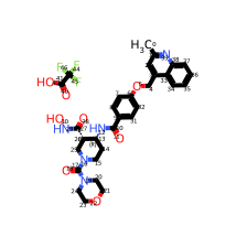 Cc1cc(COc2ccc(C(=O)N[C@@H]3CCN(C(=O)N4CCOCC4)C[C@@H]3C(=O)NO)cc2)c2ccccc2n1.O=C(O)C(F)(F)F